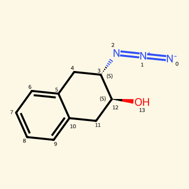 [N-]=[N+]=N[C@H]1Cc2ccccc2C[C@@H]1O